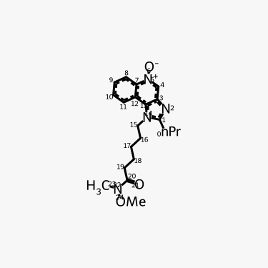 CCCc1nc2c[n+]([O-])c3ccccc3c2n1CCCCCC(=O)N(C)OC